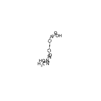 C[C@H](O)c1nccn1Cc1cc(-c2ccc(C#Cc3ccc(CN4CC(C(=O)O)C4)cc3)cc2)on1